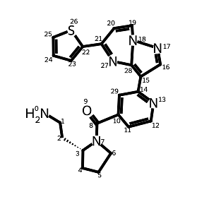 NCC[C@H]1CCCN1C(=O)c1ccnc(-c2cnn3ccc(-c4cccs4)nc23)c1